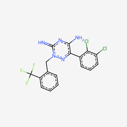 N=c1nc(N)c(-c2cccc(Cl)c2Cl)nn1Cc1ccccc1C(F)(F)F